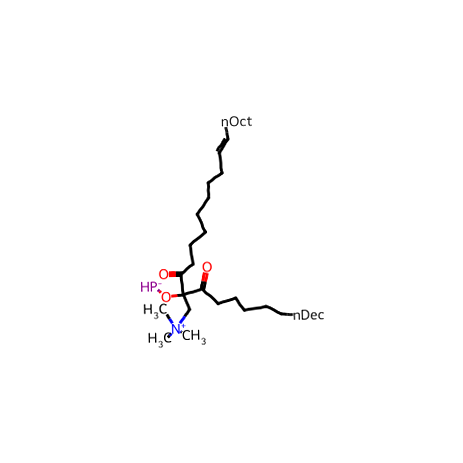 CCCCCCCCC=CCCCCCCCC(=O)C(C[N+](C)(C)C)(O[PH-])C(=O)CCCCCCCCCCCCCCC